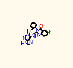 CC(Nc1ncnc2[nH]cnc12)c1nc2ccc(F)cc2c(=O)n1-c1ccccc1